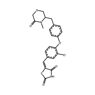 CN1C(=O)COCC1Cc1ccc(Oc2ccc(/C=C3/SC(=O)NC3=O)cc2Cl)cc1